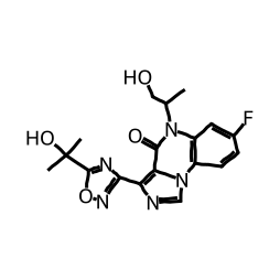 CC(CO)n1c(=O)c2c(-c3noc(C(C)(C)O)n3)ncn2c2ccc(F)cc21